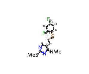 CNc1nc(SC)ncc1/C=C/Sc1ccc(F)cc1F